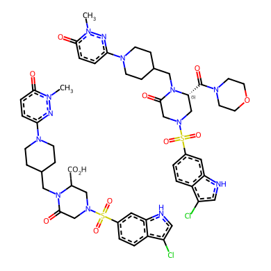 Cn1nc(N2CCC(CN3C(=O)CN(S(=O)(=O)c4ccc5c(Cl)c[nH]c5c4)CC3C(=O)O)CC2)ccc1=O.Cn1nc(N2CCC(CN3C(=O)CN(S(=O)(=O)c4ccc5c(Cl)c[nH]c5c4)C[C@H]3C(=O)N3CCOCC3)CC2)ccc1=O